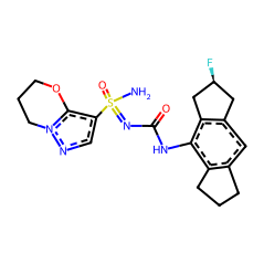 NS(=O)(=NC(=O)Nc1c2c(cc3c1C[C@@H](F)C3)CCC2)c1cnn2c1OCCC2